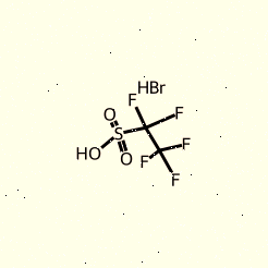 Br.O=S(=O)(O)C(F)(F)C(F)(F)F